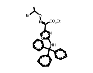 CCOC(=O)/C(=N\OC(C)Br)c1csc(NC(c2ccccc2)(c2ccccc2)c2ccccc2)n1